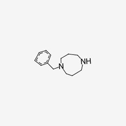 c1ccc(CN2CCCNCCC2)cc1